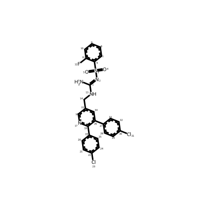 N/C(=N\S(=O)(=O)c1ccccc1F)NCc1cnc(-c2ccc(Cl)cc2)c(-c2ccc(Cl)cc2)c1